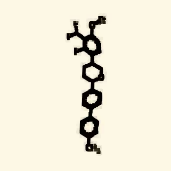 CCOc1ccc(C2CCC(c3ccc(-c4ccc(C)cc4)cc3)OC2)c(F)c1C(F)F